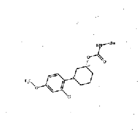 CC(C)(C)NC(=O)O[C@@H]1CCCN(c2ccc(OC(F)(F)F)cc2Cl)C1